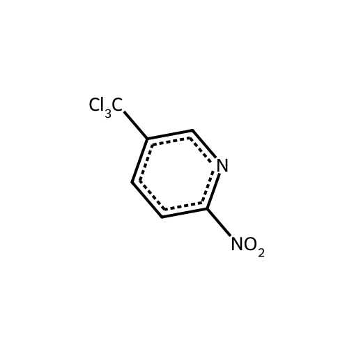 O=[N+]([O-])c1ccc(C(Cl)(Cl)Cl)cn1